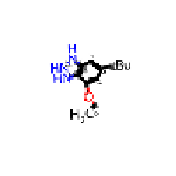 C=COc1cc(C(C)(C)C)cc2c1NNN2